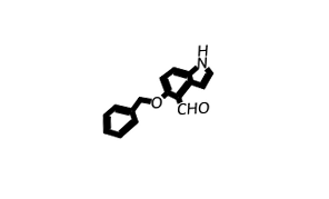 O=Cc1c(OCc2ccccc2)ccc2[nH]ccc12